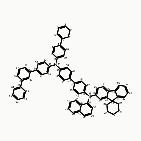 C1=CCCC(c2ccc(N(c3ccc(-c4ccc(N(c5ccc6c(c5)C5(CCCCC5)c5ccccc5-6)c5cccc6ccccc56)cc4)cc3)c3ccc(-c4cccc(-c5ccccc5)c4)cc3)cc2)=C1